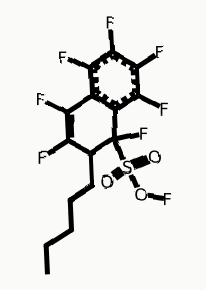 CCCCCC1C(F)=C(F)c2c(F)c(F)c(F)c(F)c2C1(F)S(=O)(=O)OF